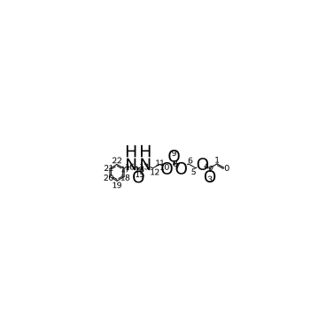 C=CC(=O)OCCOC(=O)OCCNC(=O)Nc1ccccc1